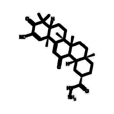 CC1(C)C(=O)C(C#N)=C[C@]2(C)C3=CC(=O)C4[C@@H]5C[C@@H](C(=O)NN)CC[C@]5(C)CC[C@@]4(C)[C@]3(C)CC[C@@H]12